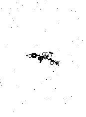 CCO[C@@H](Cc1ccc(O)cc1)C(=O)N[C@@H](CCC(=O)C=[N+]=[N-])C(=O)OC(C)C